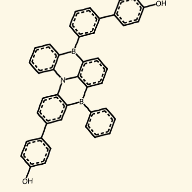 Oc1ccc(-c2cccc(B3c4ccccc4N4c5ccc(-c6ccc(O)cc6)cc5B(c5ccccc5)c5cccc3c54)c2)cc1